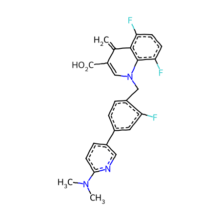 C=C1C(C(=O)O)=CN(Cc2ccc(-c3ccc(N(C)C)nc3)cc2F)c2c(F)ccc(F)c21